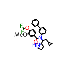 COc1cc(C(=O)N(c2cccc(-c3ccccc3)c2)C(CC2CC2)C2CCCN2)ccc1OC(F)F